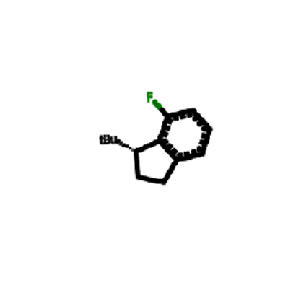 CC(C)(C)[C@H]1CCc2cccc(F)c21